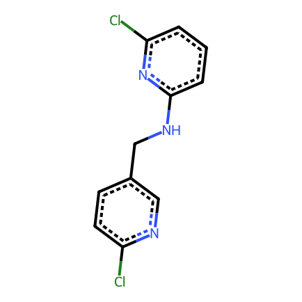 Clc1ccc(CNc2cccc(Cl)n2)cn1